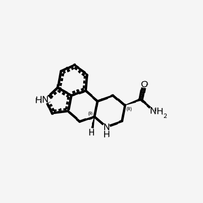 NC(=O)[C@H]1CN[C@@H]2Cc3c[nH]c4cccc(c34)C2C1